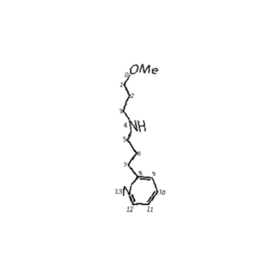 COCCCNCCCc1ccccn1